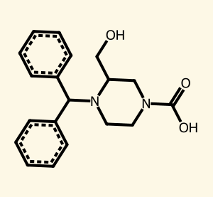 O=C(O)N1CCN(C(c2ccccc2)c2ccccc2)C(CO)C1